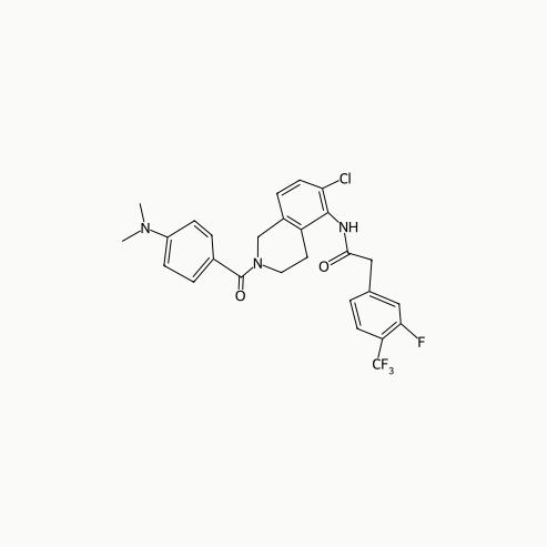 CN(C)c1ccc(C(=O)N2CCc3c(ccc(Cl)c3NC(=O)Cc3ccc(C(F)(F)F)c(F)c3)C2)cc1